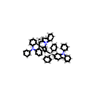 c1ccc(N2c3ccccc3C3(c4ccccc42)c2ccc([Si](c4ccccc4)(c4ccccc4)c4ccc5c6ccccc6n(-c6ccccc6)c5c4)cc2-n2c4ccccc4c4cccc3c42)cc1